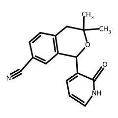 CC1(C)Cc2ccc(C#N)cc2C(c2ccc[nH]c2=O)O1